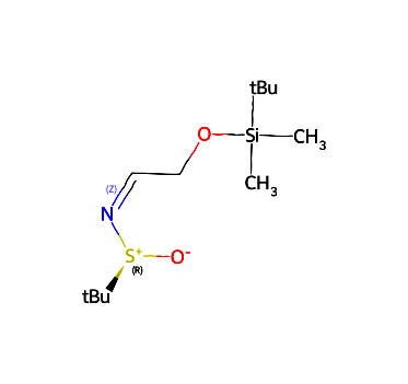 CC(C)(C)[S@+]([O-])/N=C\CO[Si](C)(C)C(C)(C)C